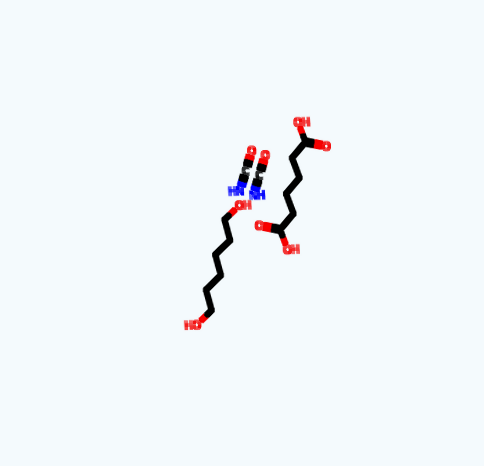 N=C=O.N=C=O.O=C(O)CCCCC(=O)O.OCCCCCCO